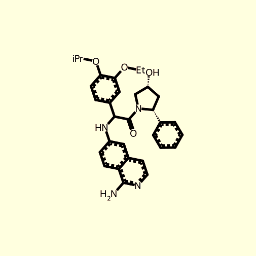 CCOc1cc(C(Nc2ccc3c(N)nccc3c2)C(=O)N2C[C@H](O)C[C@@H]2c2ccccc2)ccc1OC(C)C